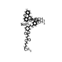 CCCCCOC(=O)CCC(=O)OC1CCCC(CCc2ccc(C(C)(C)C)c(NC(=O)CC3c4ccccc4Oc4ccccc43)c2)C1.[NaH]